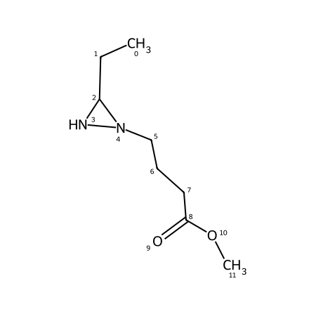 CCC1NN1CCCC(=O)OC